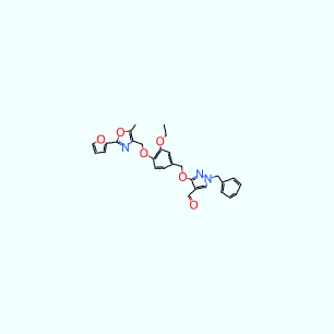 CCOc1cc(COc2nn(Cc3ccccc3)cc2C=O)ccc1OCc1nc(-c2ccco2)oc1C